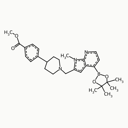 COC(=O)c1ccc(C2CCN(Cc3cc4c(B5OC(C)(C)C(C)(C)O5)ccnc4n3C)CC2)cc1